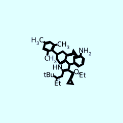 CCOC(=C1CC1)C1=C(C[C@@H](CC)C(C)(C)C)NC2=C(C(=C3CC3)CC(c3c(C)cc(C)cc3C)C2)C1c1cccc(N)c1